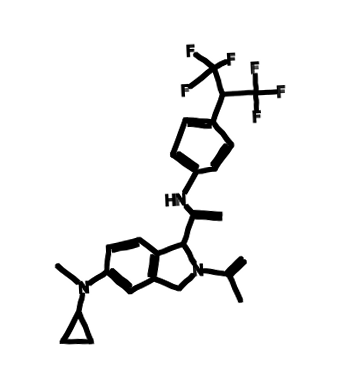 C=C(Nc1ccc(C(C(F)(F)F)C(F)(F)F)cc1)C1c2ccc(N(C)C3CC3)cc2CN1C(=C)C